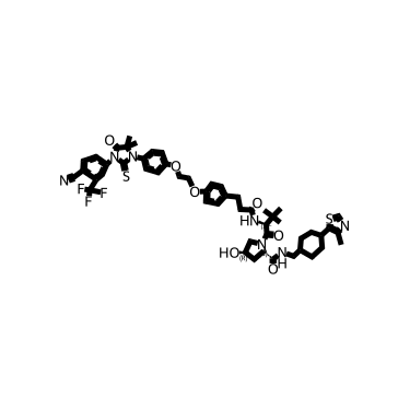 Cc1ncsc1C1CCC(CNC(=O)[C@@H]2C[C@@H](O)CN2C(=O)[C@@H](NC(=O)CCc2ccc(OCCOc3ccc(N4C(=S)N(c5ccc(C#N)c(C(F)(F)F)c5)C(=O)C4(C)C)cc3)cc2)C(C)(C)C)CC1